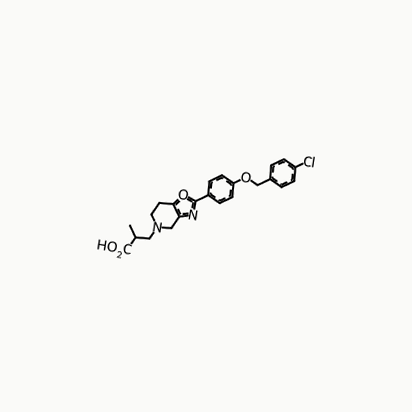 CC(CN1CCc2oc(-c3ccc(OCc4ccc(Cl)cc4)cc3)nc2C1)C(=O)O